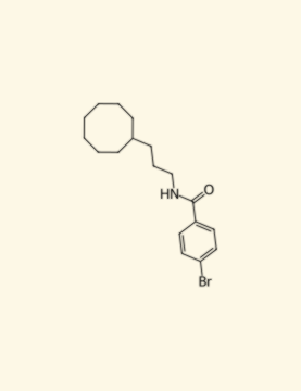 O=C(NCCCC1CCCCCCC1)c1ccc(Br)cc1